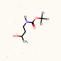 CCN(CCC(C)O)C(=O)OC(CC)(CC)CC